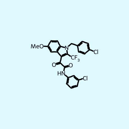 COc1ccc2c(c1)c(C(=O)C(=O)Nc1cccc(Cl)c1)c(C(F)(F)F)n2Cc1ccc(Cl)cc1